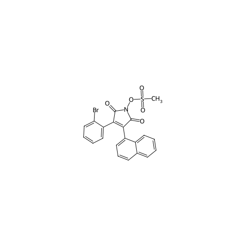 CS(=O)(=O)ON1C(=O)C(c2ccccc2Br)=C(c2cccc3ccccc23)C1=O